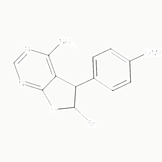 COc1ccc(C2c3c(N)ncnc3OC2Br)cc1